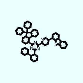 c1ccc(-c2ccccc2-c2nc(-c3ccc(-c4cccc5c4sc4ccccc45)cn3)nc(-c3cccc4c3-c3ccccc3C4(c3ccccc3)c3ccccc3)n2)cc1